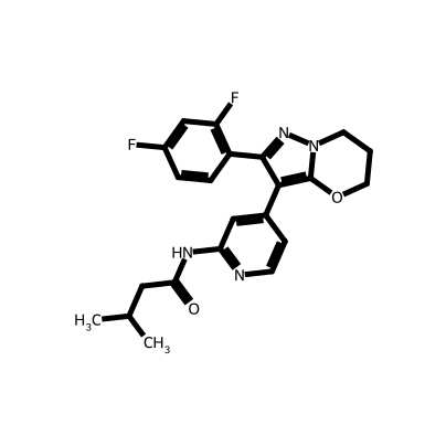 CC(C)CC(=O)Nc1cc(-c2c(-c3ccc(F)cc3F)nn3c2OCCC3)ccn1